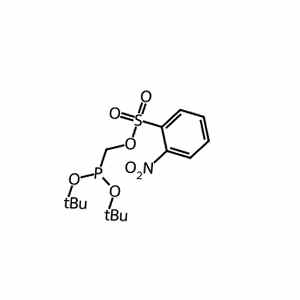 CC(C)(C)OP(COS(=O)(=O)c1ccccc1[N+](=O)[O-])OC(C)(C)C